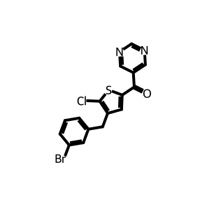 O=C(c1cncnc1)c1cc(Cc2cccc(Br)c2)c(Cl)s1